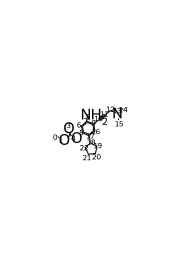 COC(=O)Oc1cc(N)c(C#CCN(C)C)cc1C1CCCC1